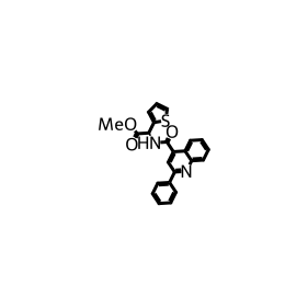 COC(=O)[C@@H](NC(=O)c1cc(-c2ccccc2)nc2ccccc12)c1cccs1